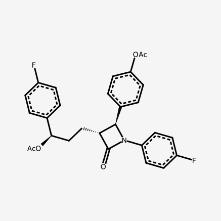 CC(=O)Oc1ccc([C@@H]2[C@@H](CC[C@@H](OC(C)=O)c3ccc(F)cc3)C(=O)N2c2ccc(F)cc2)cc1